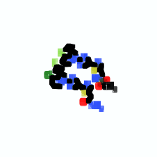 CS(=O)(=O)NCc1cnc(-c2cnc(NCC3(c4ncccc4F)CCC3)nc2)s1.NC(=O)Cc1cnc(-c2cnc(NCC3(c4ncccc4Cl)CC(F)C3)nc2)s1